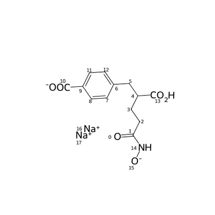 O=C(CCC(Cc1ccc(C(=O)[O-])cc1)C(=O)O)N[O-].[Na+].[Na+]